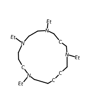 CCN1CCCCCN(CC)CCCN(CC)CCN(CC)CCC1